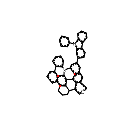 c1ccc(-c2ccccc2N(c2cccc(-c3ccc4c5ccccc5n(-c5ccccc5)c4c3)c2)c2ccccc2-c2cccc3cccc(C4CCCCC4)c23)cc1